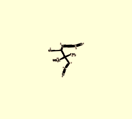 CCCC(N=C=O)C(C)(N=C=O)C(=O)O